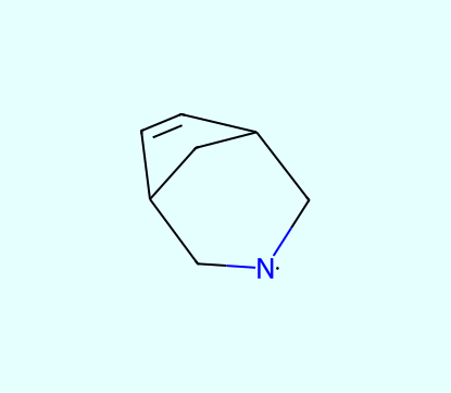 C1=CC2C[N]CC1C2